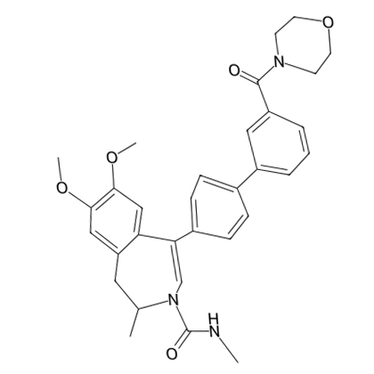 CNC(=O)N1C=C(c2ccc(-c3cccc(C(=O)N4CCOCC4)c3)cc2)c2cc(OC)c(OC)cc2CC1C